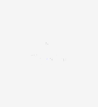 CO/N=C(\C#N)C(=O)O